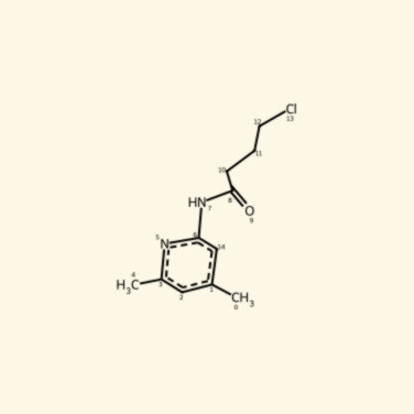 Cc1cc(C)nc(NC(=O)CCCCl)c1